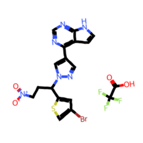 O=C(O)C(F)(F)F.O=[N+]([O-])CCC(c1cc(Br)cs1)n1cc(-c2ncnc3[nH]ccc23)cn1